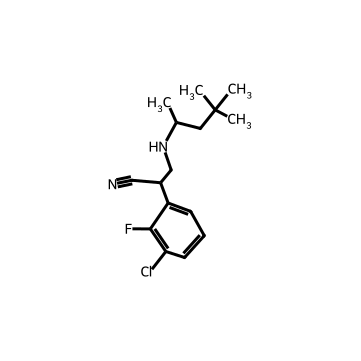 CC(CC(C)(C)C)NCC(C#N)c1cccc(Cl)c1F